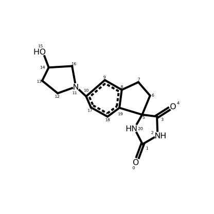 O=C1NC(=O)C2(CCc3cc(N4CCC(O)C4)ccc32)N1